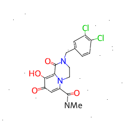 CNC(=O)c1cc(=O)c(O)c2n1CCN(Cc1ccc(Cl)c(Cl)c1)C2=O